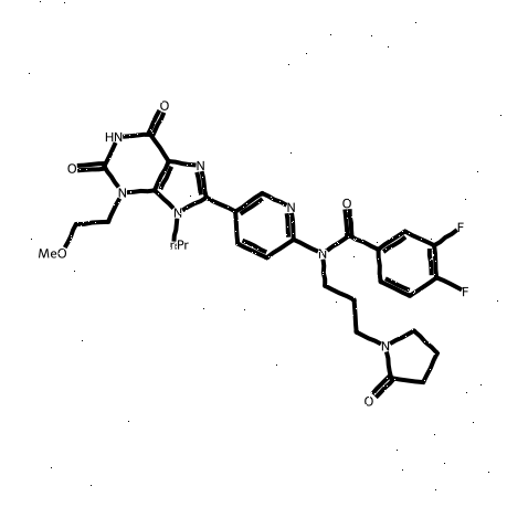 CCCn1c(-c2ccc(N(CCCN3CCCC3=O)C(=O)c3ccc(F)c(F)c3)nc2)nc2c(=O)[nH]c(=O)n(CCOC)c21